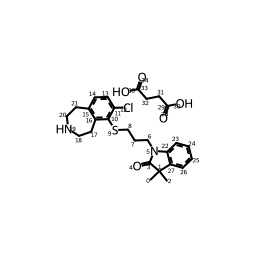 CC1(C)C(=O)N(CCCSc2c(Cl)ccc3c2CCNCC3)c2ccccc21.O=C(O)CCC(=O)O